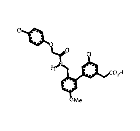 CCN(Cc1ccc(OC)cc1-c1cc(Cl)cc(CC(=O)O)c1)C(=O)COc1ccc(Cl)cc1